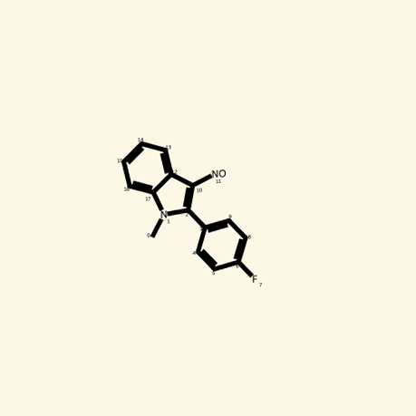 Cn1c(-c2ccc(F)cc2)c(N=O)c2ccccc21